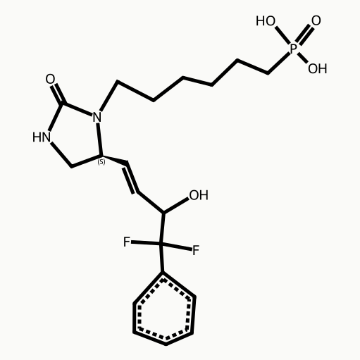 O=C1NC[C@H](C=CC(O)C(F)(F)c2ccccc2)N1CCCCCCP(=O)(O)O